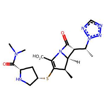 C[C@H]([C@H]1C(=O)N2C(C(=O)O)=C(S[C@@H]3CN[C@H](C(=O)N(C)C)C3)[C@H](C)[C@H]12)n1ncnn1